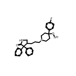 CCCOC1(c2ccc(F)cc2)CCN(CCCC2CNC(=O)C2(c2ccccc2)c2ccccc2)CC1